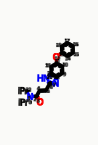 CC(C)N(C(=O)C=Cc1nc2ccc(Oc3ccccc3)cc2[nH]1)C(C)C